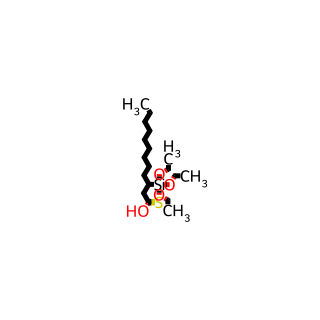 CCCCCCCCCC(CC(O)=S)[Si](OCC)(OCC)OCC